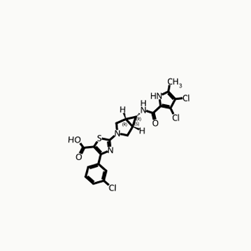 Cc1[nH]c(C(=O)N[C@@H]2[C@@H]3CN(c4nc(-c5cccc(Cl)c5)c(C(=O)O)s4)C[C@@H]32)c(Cl)c1Cl